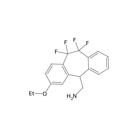 CCOc1ccc2c(c1)C(CN)c1ccccc1C(F)(F)C2(F)F